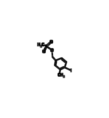 Cc1cc(COS(C)(=O)=O)ccc1I